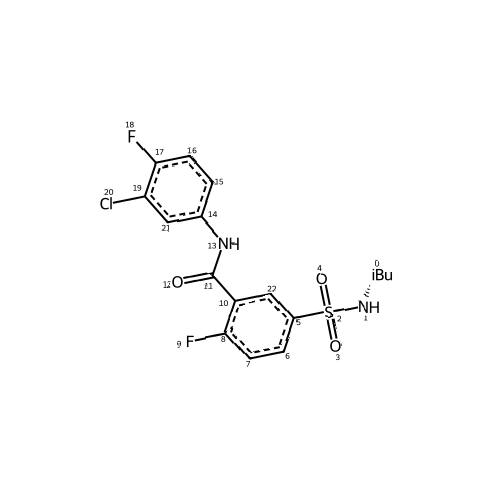 CC[C@@H](C)NS(=O)(=O)c1ccc(F)c(C(=O)Nc2ccc(F)c(Cl)c2)c1